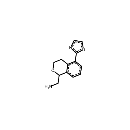 NCC1OCCc2c(-c3ncco3)cccc21